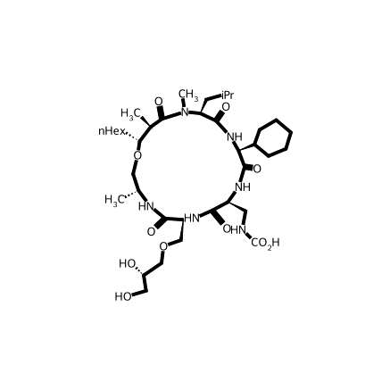 CCCCCC[C@H]1OC[C@@H](C)NC(=O)[C@H](COC[C@@H](O)CO)NC(=O)[C@H](CNC(=O)O)NC(=O)[C@H](C2CCCCC2)NC(=O)[C@H](CC(C)C)N(C)C(=O)[C@@H]1C